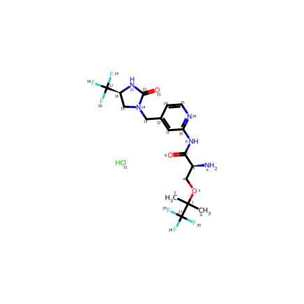 CC(C)(OC[C@H](N)C(=O)Nc1cc(CN2C[C@@H](C(F)(F)F)NC2=O)ccn1)C(F)(F)F.Cl